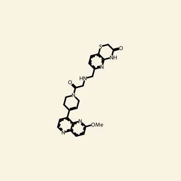 COc1ccc2nccc(C3=CCN(C(=O)CNCc4ccc5c(n4)NC(=O)CS5)CC3)c2n1